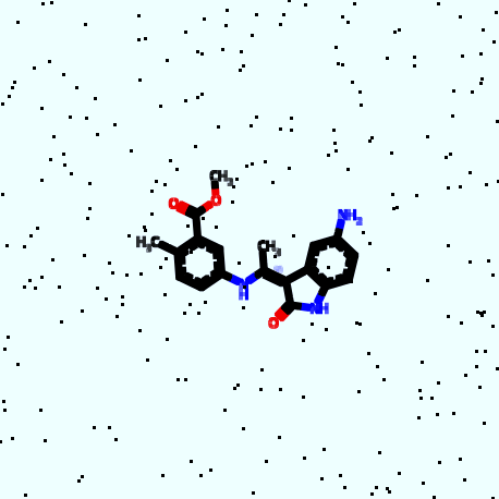 COC(=O)c1cc(N/C(C)=C2\C(=O)Nc3ccc(N)cc32)ccc1C